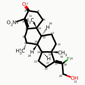 C[C@@H]1CC2=C([N+](=O)[O-])C(=O)CC[C@]2(C)[C@H]2CC[C@]3(C)C(=C(F)CO)CC[C@H]3[C@H]12